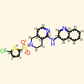 O=S(=O)(c1ccc(Cl)s1)N1CCc2c(ccnc2Nc2cnc3ccccc3c2)C1